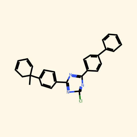 CC1(c2ccc(-c3nc(Cl)nc(-c4ccc(-c5ccccc5)cc4)n3)cc2)C=CC=CC1